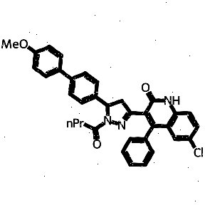 CCCC(=O)N1N=C(c2c(-c3ccccc3)c3cc(Cl)ccc3[nH]c2=O)CC1c1ccc(-c2ccc(OC)cc2)cc1